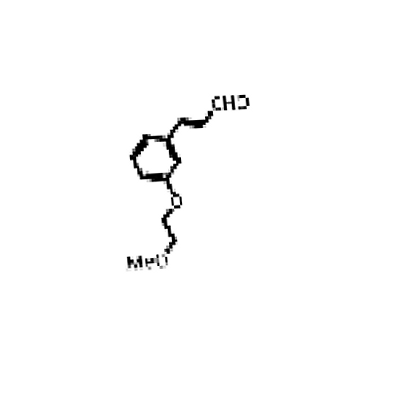 COCCOc1cccc(C=CC=O)c1